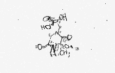 CC1(C)NC(=O)CN(CP(=O)(O)O)C1=O